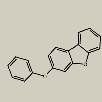 [c]1ccccc1Oc1ccc2c(c1)oc1ccccc12